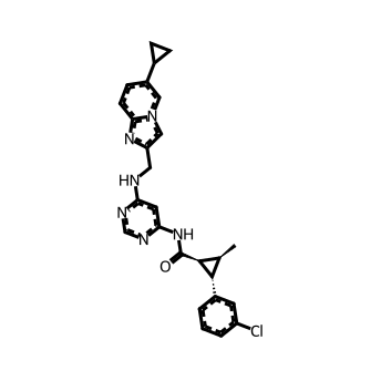 C[C@@H]1[C@H](C(=O)Nc2cc(NCc3cn4cc(C5CC5)ccc4n3)ncn2)[C@H]1c1cccc(Cl)c1